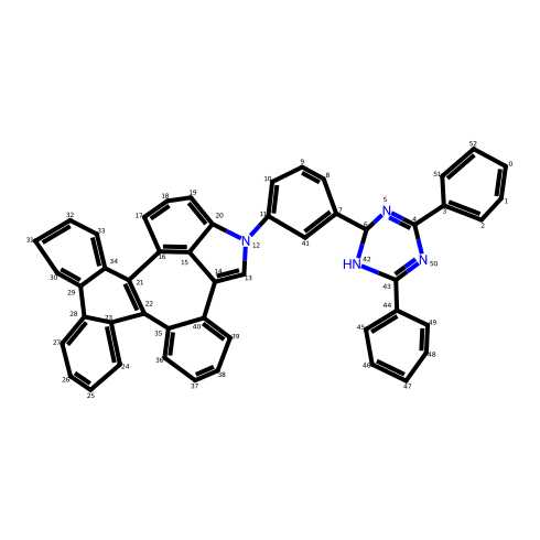 c1ccc(C2=NC(c3cccc(-n4cc5c6c(cccc64)-c4c(c6ccccc6c6ccccc46)-c4ccccc4-5)c3)NC(c3ccccc3)=N2)cc1